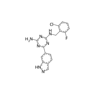 Nc1nc(NCc2c(F)cccc2Cl)nc(-c2ccc3cn[nH]c3c2)n1